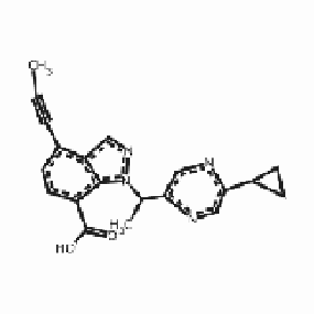 CC#Cc1ccc(C(=O)O)c2c1cnn2C(C)c1cnc(C2CC2)cn1